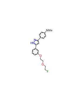 CNc1ccc(-c2cc(-c3cccc(OCCOCCF)c3)[nH]n2)cc1